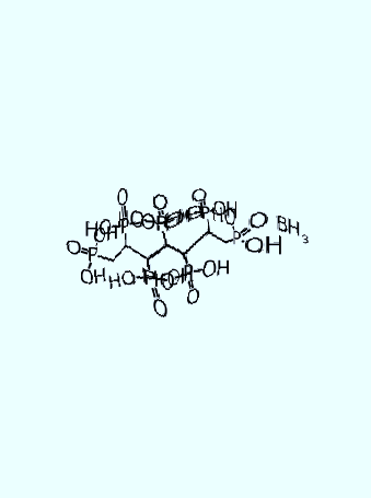 B.O=P(O)(O)CC(C(C(C(C(CP(=O)(O)O)P(=O)(O)O)P(=O)(O)O)P(=O)(O)O)P(=O)(O)O)P(=O)(O)O